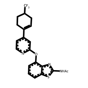 CC(=O)Nc1nc2c(Oc3cc(C4=CCC(C(F)(F)F)CC4)ccn3)cccc2s1